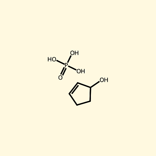 O=P(O)(O)O.OC1C=CCC1